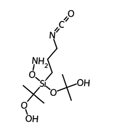 CC(C)(O)O[Si](CCCN=C=O)(ON)C(C)(C)OO